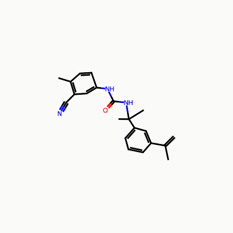 C=C(C)c1cccc(C(C)(C)NC(=O)Nc2ccc(C)c(C#N)c2)c1